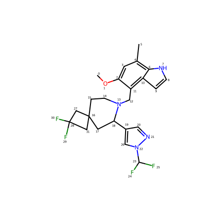 COc1cc(C)c2[nH]ccc2c1CN1CCC2(CC1c1cnn(C(F)F)c1)CC(F)(F)C2